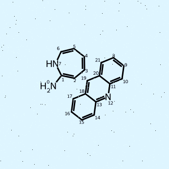 NC1=CC=CC=CN1.c1ccc2nc3ccccc3cc2c1